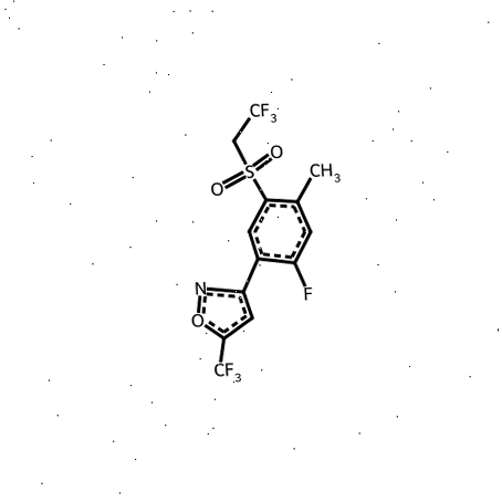 Cc1cc(F)c(-c2cc(C(F)(F)F)on2)cc1S(=O)(=O)CC(F)(F)F